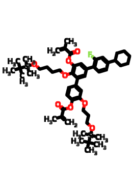 C=C(C)C(=O)Oc1ccc(-c2cc(-c3ccc(C4CCCCC4)cc3F)cc(OC(=O)C(=C)C)c2OCCCCO[Si](C)(C)C(C)(C)C)cc1OCCCO[Si](C)(C)C(C)(C)C